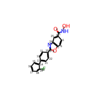 O=C(NO)c1ccc2oc(-c3ccc(-c4ccccc4F)cc3)nc2c1